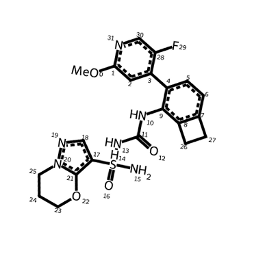 COc1cc(-c2ccc3c(c2NC(=O)N[SH](N)(=O)c2cnn4c2OCCC4)CC3)c(F)cn1